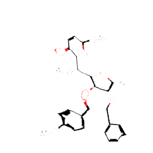 [CH2][CH]C[C@H]1O[C@@H]([C@H](OC(C)=O)[C@H]2OC(OC(C)=O)C=CC2=O)[C@H](OCc2ccc(OC)cc2)[C@H]1OCc1ccccc1